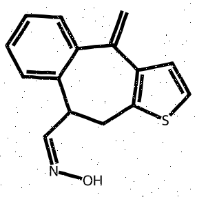 C=C1c2ccccc2C(/C=N\O)Cc2sccc21